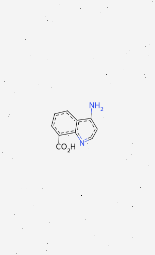 Nc1ccnc2c(C(=O)O)cccc12